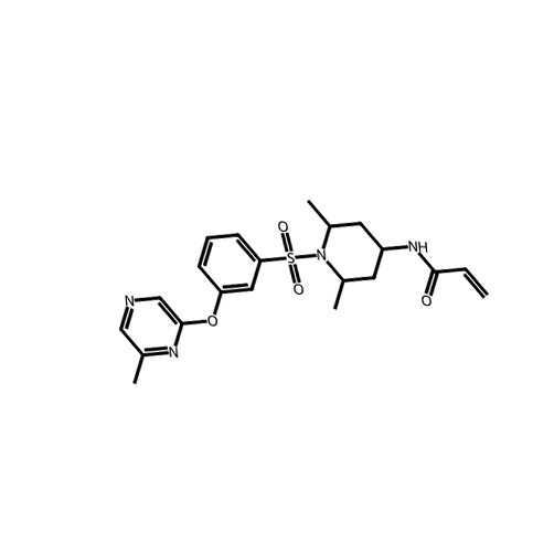 C=CC(=O)NC1CC(C)N(S(=O)(=O)c2cccc(Oc3cncc(C)n3)c2)C(C)C1